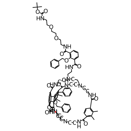 Cc1c2ccc(c1C)C(=O)NCCN1CCNC(=O)c3ccc(c(C)c3C)C(=O)NCCN(CCNC2=O)CCNC(=O)c2ccc(c(OCc3ccccc3)c2OCc2ccccc2)C(=O)NCCN(CCNC(=O)c2cccc(C(=O)NCCOCCOCCNC(=O)OC(C)(C)C)c2OCc2ccccc2)CC1